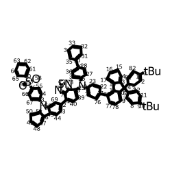 CC(C)(C)C1=CCC(C2(c3ccc(C(C)(C)C)cc3)c3ccccc3-c3c(-c4ccc(N(c5ccc(-c6ccccc6)cc5)c5ccc(-c6ccc7c8ccccc8n(-c8ccc(S(=O)(=O)c9ccccc9)cc8)c7c6)c6nsnc56)cc4)cccc32)C=C1